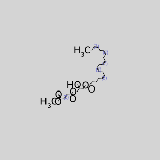 CC/C=C\C/C=C\C/C=C\C/C=C\C/C=C\CCCC(=O)OCC(O)COC(=O)/C=C/C(=O)OC